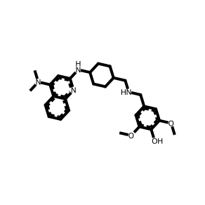 COc1cc(CNCC2CCC(Nc3cc(N(C)C)c4ccccc4n3)CC2)cc(OC)c1O